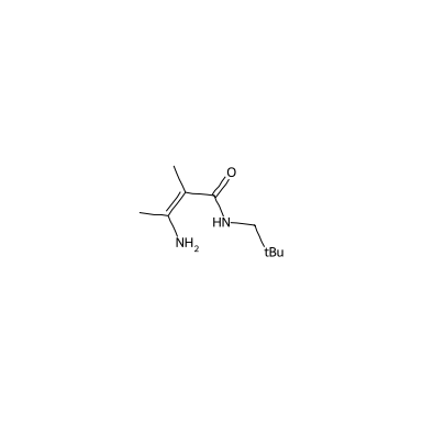 C/C(N)=C(\C)C(=O)NCC(C)(C)C